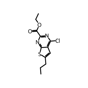 CCCc1cc2c(Cl)nc(C(=O)OCC)nc2s1